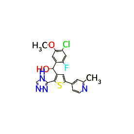 COc1cc(C(O)c2cc(-c3ccnc(C)c3)sc2-c2nnc[nH]2)c(F)cc1Cl